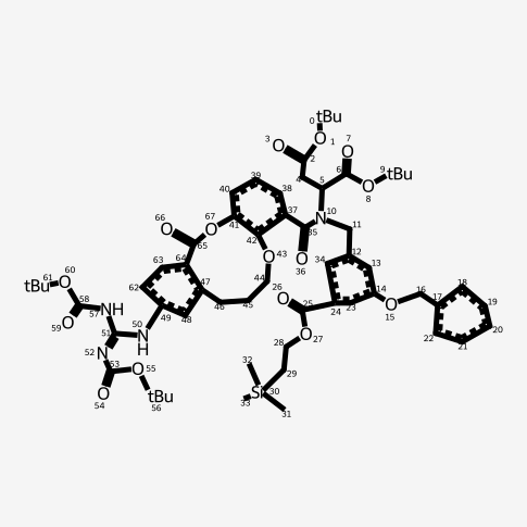 CC(C)(C)OC(=O)CC(C(=O)OC(C)(C)C)N(Cc1cc(OCc2ccccc2)cc(C(=O)OCC[Si](C)(C)C)c1)C(=O)c1cccc2c1OCCCc1cc(NC(=NC(=O)OC(C)(C)C)NC(=O)OC(C)(C)C)ccc1C(=O)O2